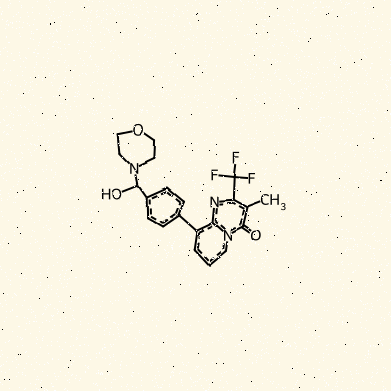 Cc1c(C(F)(F)F)nc2c(-c3ccc(C(O)N4CCOCC4)cc3)cccn2c1=O